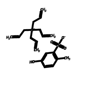 C=CC[N+](CC=C)(CC=C)CC=C.Cc1ccc(O)cc1S(=O)(=O)[O-]